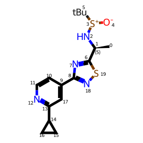 C[C@H](N[S+]([O-])C(C)(C)C)c1nc(-c2ccnc(C3CC3)c2)ns1